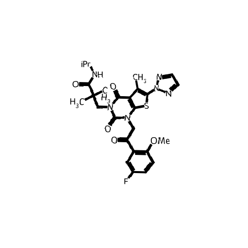 COc1ccc(F)cc1C(=O)Cn1c(=O)n(CC(C)(C)C(=O)NC(C)C)c(=O)c2c(C)c(-n3nccn3)sc21